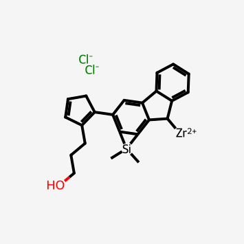 C[Si]1(C)c2c(C3=C(CCCO)C=CC3)cc3c(c21)[CH]([Zr+2])c1ccccc1-3.[Cl-].[Cl-]